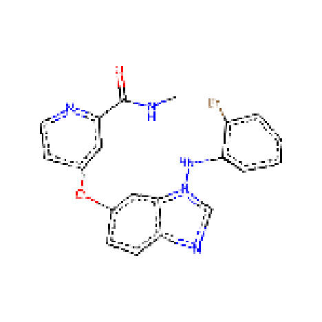 CNC(=O)c1cc(Oc2ccc3ncn(Nc4ccccc4Br)c3c2)ccn1